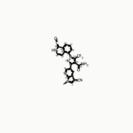 Cn1cc(C#N)c2cc(-c3nn(-c4cccc5c4C=CNC5=C=O)c(C(F)(F)F)c3C(N)=O)cnc21